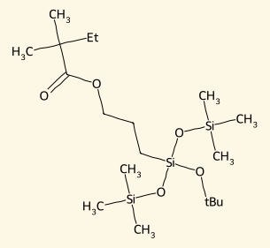 CCC(C)(C)C(=O)OCCC[Si](OC(C)(C)C)(O[Si](C)(C)C)O[Si](C)(C)C